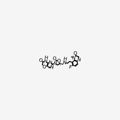 Cn1c(=O)cnc2ccc(F)c(CCNC[C@H]3CN(c4ncc5c(n4)NC(=O)CO5)C(=O)O3)c21